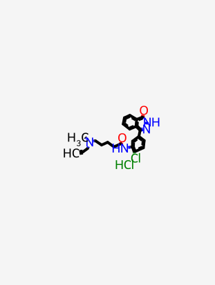 C#CCN(C)CCCCC(=O)Nc1cc(-c2n[nH]c(=O)c3ccccc23)ccc1Cl.Cl